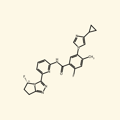 Cc1cc(F)c(C(=O)Nc2cccc(-c3nnc4n3[C@@H](F)CC4)n2)cc1-n1cnc(C2CC2)c1